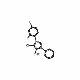 O=Cc1c(-c2ccccc2)nn(-c2ccc(F)cc2F)c1Cl